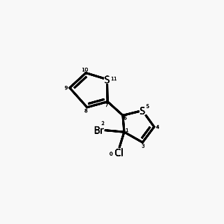 ClC1(Br)C=CSC1c1cccs1